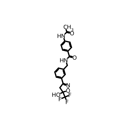 CC(=O)Nc1ccc(C(=O)NCc2cccc(C3=NOC(O)(C(F)(F)F)C3)c2)cc1